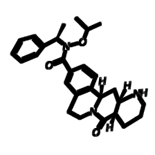 CC(C)ON(C(=O)c1ccc2c(c1)CCN1C(=O)[C@H]3CCCN[C@H]3C[C@@H]21)[C@H](C)c1ccccc1